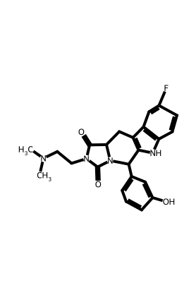 CN(C)CCN1C(=O)C2Cc3c([nH]c4ccc(F)cc34)C(c3cccc(O)c3)N2C1=O